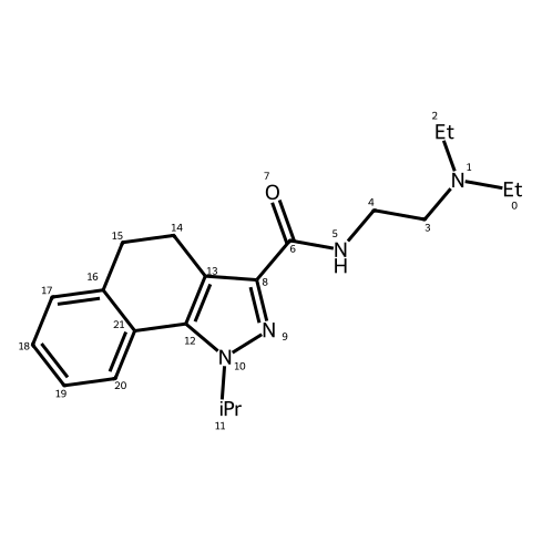 CCN(CC)CCNC(=O)c1nn(C(C)C)c2c1CCc1ccccc1-2